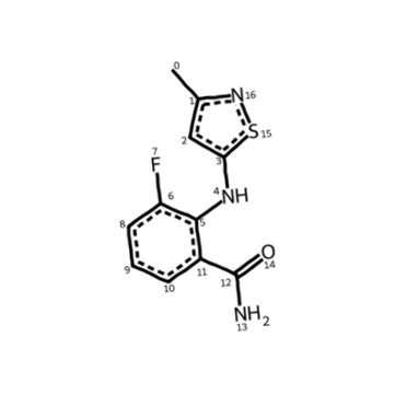 Cc1cc(Nc2c(F)cccc2C(N)=O)sn1